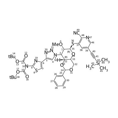 COC1C(n2cc(-c3csc(N(C(=O)OC(C)(C)C)C(=O)OC(C)(C)C)n3)nn2)[C@H]2OC(c3ccccc3)OCC2O[C@@H]1Sc1cc(C#C[Si](C)(C)C)cnc1C#N